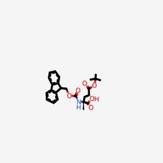 CC(C)(C)OC(=O)CC[C@@](C)(NC(=O)OCC1c2ccccc2-c2ccccc21)C(=O)O